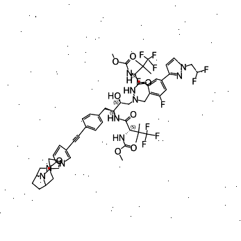 COC(=O)N[C@H](C(=O)N[C@@H](Cc1ccc(C#Cc2ccc(N3CC4CCC(C3)N4C3COC3)nc2)cc1)[C@@H](O)CN(Cc1c(F)cc(-c2ccn(CC(F)F)n2)cc1F)NC(=O)[C@@H](NC(=O)OC)C(C)(C)C(F)(F)F)C(C)(C)C(F)(F)F